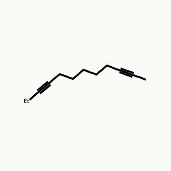 CC#CCCC[CH]CC#CCC